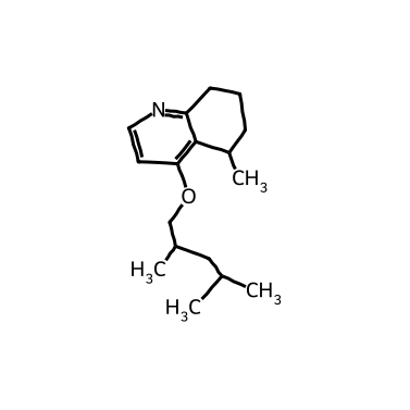 CC(C)CC(C)COc1ccnc2c1C(C)CCC2